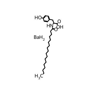 CCCCCCCCCCCCCCCCCC(=O)NC(Cc1ccc(O)cc1)C(=O)O.[BaH2]